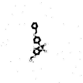 CCn1c(=O)n(-c2ccc(OCc3ccccc3)cc2)c2ncc(OCC(F)(F)F)cc21